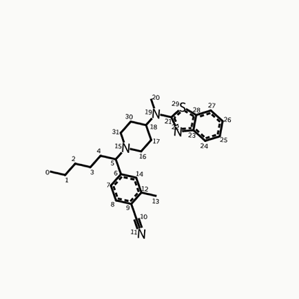 CCCCCC(c1ccc(C#N)c(C)c1)N1CCC(N(C)c2nc3ccccc3s2)CC1